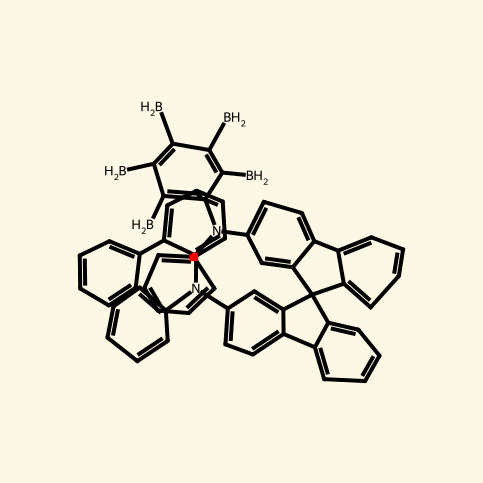 Bc1c(B)c(B)c(N(c2ccccc2)c2ccc3c(c2)C2(c4ccccc4-c4ccc(N(c5ccccc5)c5ccccc5-c5ccccc5)cc42)c2ccccc2-3)c(B)c1B